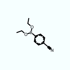 CCOB(OCC)c1ccc(C#N)cc1